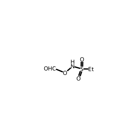 CCS(=O)(=O)NOC=O